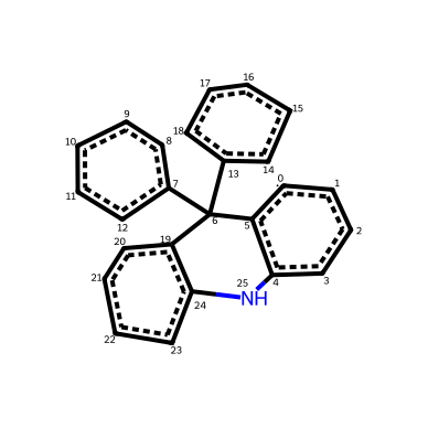 [c]1cccc2c1C(c1ccccc1)(c1ccccc1)c1ccccc1N2